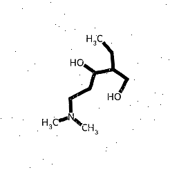 CCC(CO)C(O)CCN(C)C